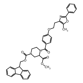 COC(=O)C1CN(C(=O)OCC2c3ccccc3-c3ccccc32)CCN1C(=O)c1ccc(OCCc2nc(-c3ccccc3)oc2C)cc1